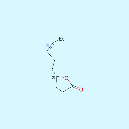 CC/C=C\CC[C@H]1CCC(=O)O1